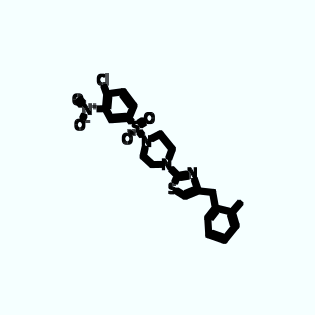 Cc1ccccc1Cc1csc(N2CCN(S(=O)(=O)c3ccc(Cl)c([N+](=O)[O-])c3)CC2)n1